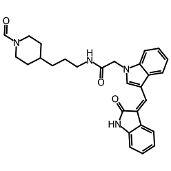 O=CN1CCC(CCCNC(=O)Cn2cc(C=C3C(=O)Nc4ccccc43)c3ccccc32)CC1